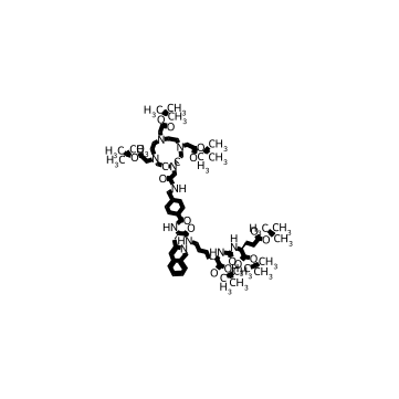 CC(C)(C)OC(=O)CC[C@H](NC(=O)N[C@@H](CCCCNC(=O)[C@H](Cc1cc2ccccc2cn1)NC(=O)C1CCC(CNC(=O)CN2CCN(CC(=O)OC(C)(C)C)CCN(CC(=O)OC(C)(C)C)CCN(CC(=O)OC(C)(C)C)CC2)CC1)C(=O)OC(C)(C)C)C(=O)OC(C)(C)C